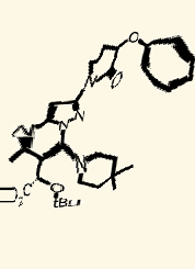 Cc1nc2cc(N3CCC(Oc4ccccc4)C3=O)nn2c(N2CCC(C)(C)CC2)c1[C@H](OC(C)(C)C)C(=O)O